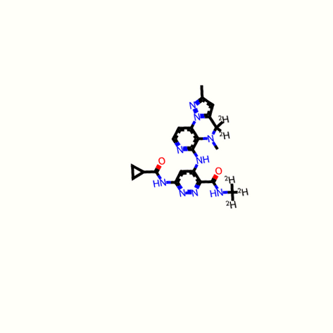 [2H]C([2H])([2H])NC(=O)c1nnc(NC(=O)C2CC2)cc1Nc1nccc2c1N(C)C([2H])([2H])c1cc(C)nn1-2